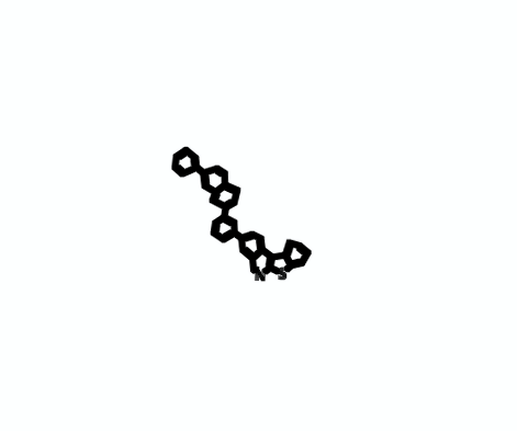 c1ccc(-c2ccc3ccc(-c4cccc(-c5ccc6c(cnc7sc8ccccc8c76)c5)c4)cc3c2)cc1